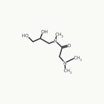 CN(C)CC(=O)N(C)CC(O)CO